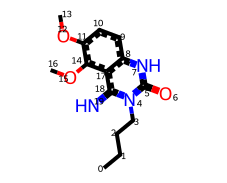 CCCCn1c(=O)[nH]c2ccc(OC)c(OC)c2c1=N